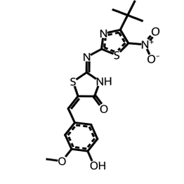 COc1cc(C=C2SC(=Nc3nc(C(C)(C)C)c([N+](=O)[O-])s3)NC2=O)ccc1O